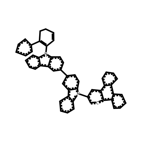 C1=CC(n2c3ccccc3c3cc(-c4ccc5c(c4)c4ccccc4n5-c4ccc5c6ccccc6c6ccccc6c5c4)ccc32)=C(c2ccccc2)CC1